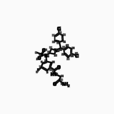 CS(=O)(=O)N(c1cc(F)cc(C(=O)NCC(N)=O)c1)C1CN(C(c2ccc(Cl)cc2)c2ccc(Cl)cc2)C1